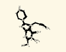 CC#CCn1c(N2CCNCC2)nc2nc(OC(C)CC)n(C)c(=O)c21